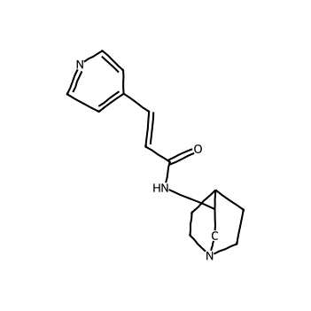 O=C(C=Cc1ccncc1)NC1CN2CCC1CC2